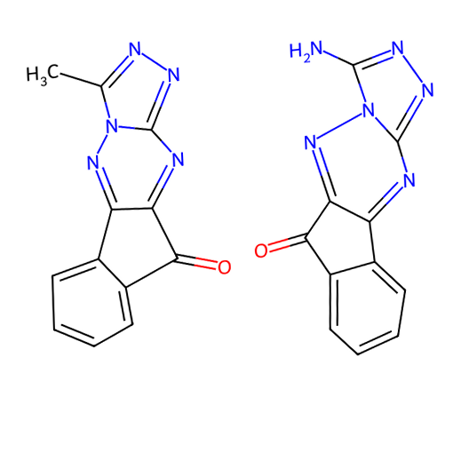 Cc1nnc2nc3c(nn12)-c1ccccc1C3=O.Nc1nnc2nc3c(nn12)C(=O)c1ccccc1-3